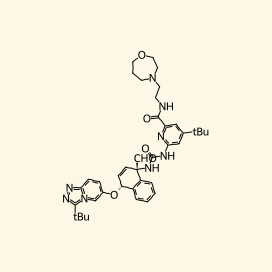 CC(C)(C)c1cc(NC(=O)N[C@@]2(C=O)C=C[C@@H](Oc3ccc4nnc(C(C)(C)C)n4c3)c3ccccc32)nc(C(=O)NCCN2CCCOCC2)c1